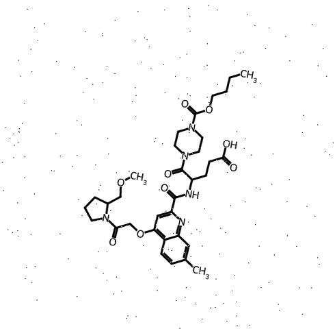 CCCCOC(=O)N1CCN(C(=O)C(CCC(=O)O)NC(=O)c2cc(OCC(=O)N3CCCC3COC)c3ccc(C)cc3n2)CC1